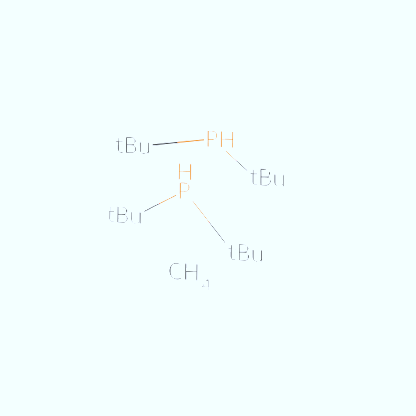 C.CC(C)(C)PC(C)(C)C.CC(C)(C)PC(C)(C)C